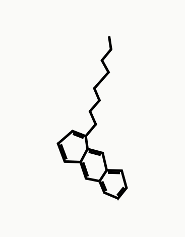 CCCCCCCCc1cccc2cc3c[c]ccc3cc12